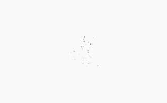 Cc1c(C2(c3ccc(F)cc3)OCCO2)ccn(C)c1=O